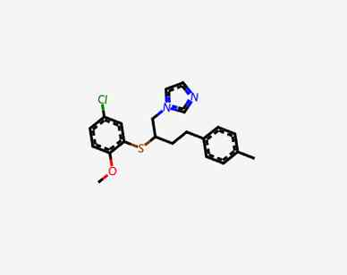 COc1ccc(Cl)cc1SC(CCc1ccc(C)cc1)Cn1ccnc1